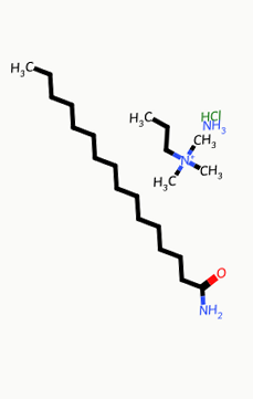 CCCCCCCCCCCCCCCC(N)=O.CCC[N+](C)(C)C.Cl.N